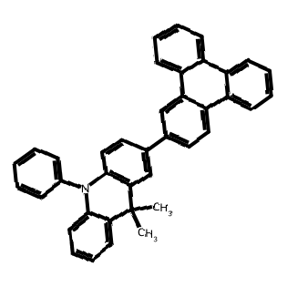 CC1(C)c2ccccc2N(c2ccccc2)c2ccc(-c3ccc4c5ccccc5c5ccccc5c4c3)cc21